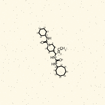 O=C(NCC1CCN(C(=O)NC2CCCCC2)CC1)N[C]1CCCCCCC1.[CH2].[CH2]